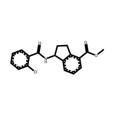 COC(=O)c1cccc2c1CCC2NC(=O)c1ccccc1Cl